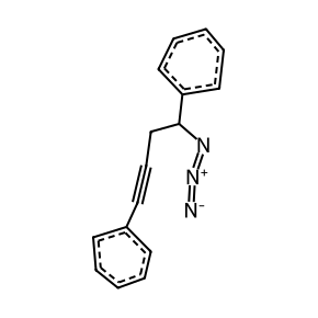 [N-]=[N+]=NC(CC#Cc1ccccc1)c1ccccc1